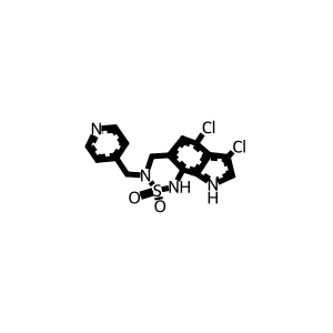 O=S1(=O)Nc2c(cc(Cl)c3c(Cl)c[nH]c23)CN1Cc1ccncc1